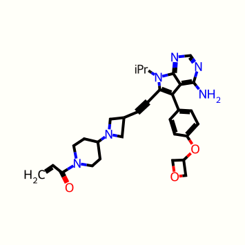 C=CC(=O)N1CCC(N2CC(C#Cc3c(-c4ccc(OC5COC5)cc4)c4c(N)ncnc4n3C(C)C)C2)CC1